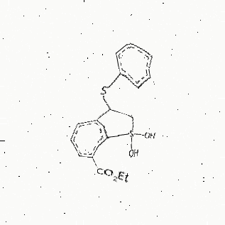 CCOC(=O)c1cccc2c1S(O)(O)CC2Sc1ccccc1